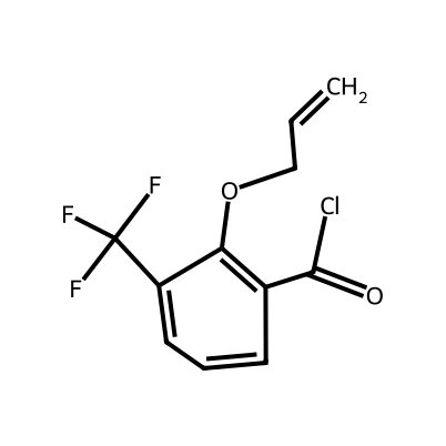 C=CCOc1c(C(=O)Cl)cccc1C(F)(F)F